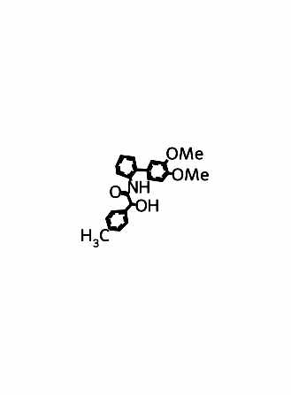 COc1ccc(-c2ccccc2NC(=O)C(O)c2ccc(C)cc2)cc1OC